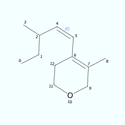 CCC(C)/C=C\C1=C(C)COCC1